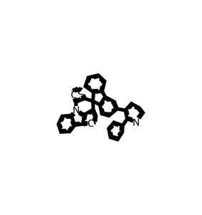 c1ccc(-c2ncccc2-c2ccc3c(c2)-c2ccccc2C32c3ccccc3-n3c4ccccc4c4cccc2c43)cc1